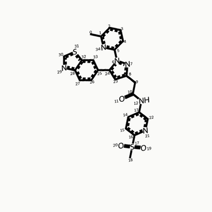 Cc1cccc(-n2nc(CC(=O)Nc3ccc(S(C)(=O)=O)nc3)cc2-c2ccc3ncsc3c2)n1